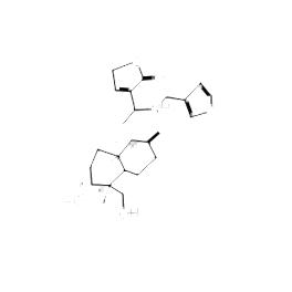 C=C1CCC2[C@](C)(CO)[C@H](O)CC[C@@]2(C)[C@@H]1CC(NCc1ccsc1)C1=CCOC1=O